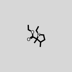 CCOC(=O)C1(C)C(C)CCN1CC